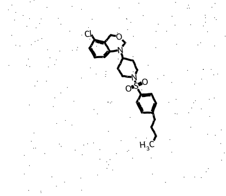 CCCCc1ccc(S(=O)(=O)N2CCC(N3COCc4c(Cl)cccc43)CC2)cc1